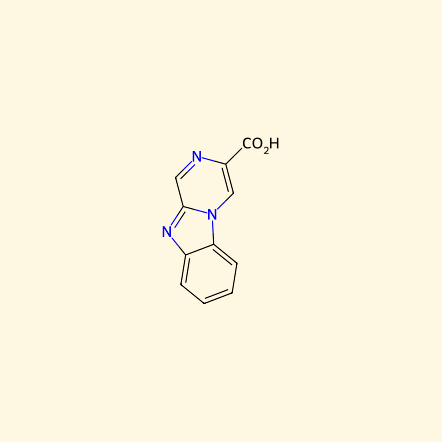 O=C(O)c1cn2c(cn1)nc1ccccc12